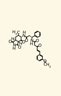 COc1cccc(/C=C/C(=O)CC(=O)N[C@@H](CC(=O)N[C@@H]2C(=O)[C@@H]3C(=O)NC(=O)[C@H]3CC2C)c2ccccc2)c1